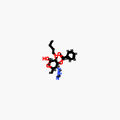 CCCCO[C@@H]1C(OC(=O)c2ccccc2)[C@H](N=[N+]=[N-])C(C)O[C@@H]1O